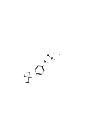 CC1(C)OB(c2ccc(OC3(C(N)=O)COC3)cc2)OC1(C)C